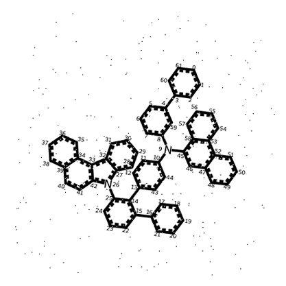 c1ccc(-c2cccc(N(c3ccc(-c4c(-c5ccccc5)cccc4-n4c5ccccc5c5c6ccccc6ccc54)cc3)c3cc4ccccc4c4ccccc34)c2)cc1